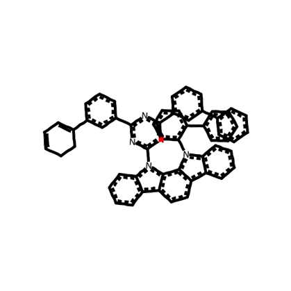 C1=CCCC(c2cccc(-c3nc(-c4cccc(-c5ccccc5)c4)nc(-n4c5ccccc5c5ccc6c7ccccc7n(-c7ccccc7-c7ccccc7)c6c54)n3)c2)=C1